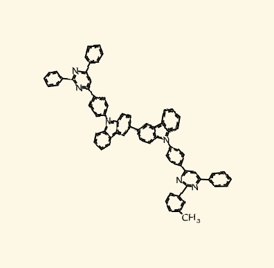 Cc1cccc(-c2nc(-c3ccccc3)cc(-c3ccc(-n4c5ccccc5c5cc(-c6ccc7c(c6)c6ccccc6n7-c6ccc(-c7cc(-c8ccccc8)nc(-c8ccccc8)n7)cc6)ccc54)cc3)n2)c1